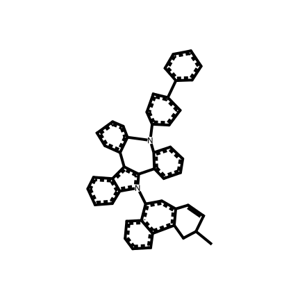 CC1C=Cc2cc(-n3c4c(c5ccccc53)-c3ccccc3N(c3ccc(-c5ccccc5)cc3)c3ccccc3-4)c3ccccc3c2C1